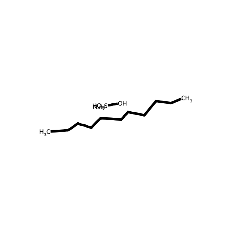 CCCCCCCCCCC.O=S(=O)(O)O.[NaH]